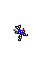 Cc1cc2c3c(c1)N(c1ccc(C(C)(C)C)cc1-c1ccc(C(C)(C)C)cc1)c1cc4c(cc1C3C1=C(c3cc(C(C)(C)C)ccc3C1)N2c1cc2c3c(c1)CC(C)(C)CC3CC(C)(C)C2)C(C)(C)c1ccccc1C4